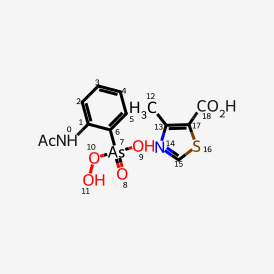 CC(=O)Nc1ccccc1[As](=O)(O)OO.Cc1ncsc1C(=O)O